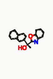 C[C@@](O)(c1ccc2ccccc2c1)c1nc2ccccc2o1